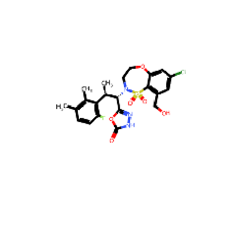 Cc1ccc(F)c([C@@H](C)[C@@H](c2n[nH]c(=O)o2)N2CCOc3cc(Cl)cc(CO)c3S2(=O)=O)c1C